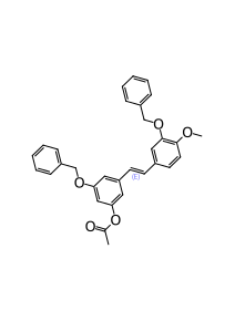 COc1ccc(/C=C/c2cc(OCc3ccccc3)cc(OC(C)=O)c2)cc1OCc1ccccc1